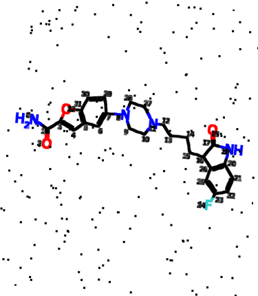 NC(=O)c1cc2cc(N3CCN(CCCCC4C(=O)Nc5ccc(F)cc54)CC3)ccc2o1